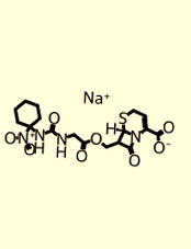 O=C(NCC(=O)OCC1C(=O)N2C(C(=O)[O-])=CCS[C@@H]12)NC1([N+](=O)[O-])CCCCC1.[Na+]